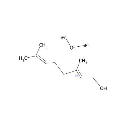 CC(C)=CCC/C(C)=C/CO.CC(C)OC(C)C